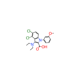 CCN(CC)c1c(C(=O)O)n(-c2cccc(OC)c2)c2ccc(Cl)c(Cl)c12